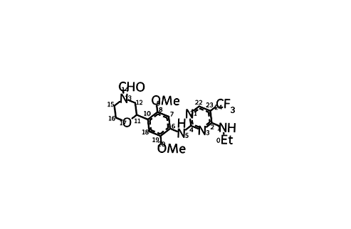 CCNc1nc(Nc2cc(OC)c(C3CN(C=O)CCO3)cc2OC)ncc1C(F)(F)F